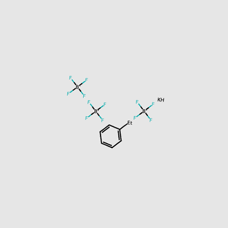 CCc1ccccc1.F[B-](F)(F)F.F[B-](F)(F)F.F[B-](F)(F)F.[KH]